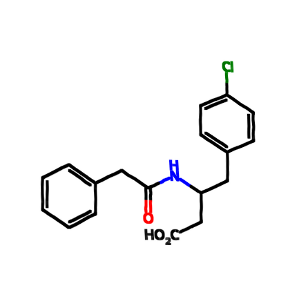 O=C(O)CC(Cc1ccc(Cl)cc1)NC(=O)Cc1ccccc1